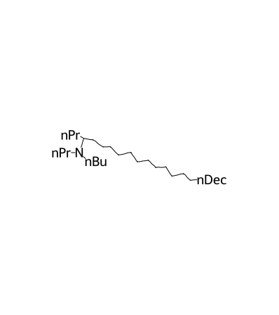 CCCCCCCCCCCCCCCCCCCCCCC(CCC)N(CCC)CCCC